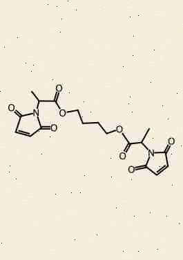 CC(C(=O)OCCCCOC(=O)C(C)N1C(=O)C=CC1=O)N1C(=O)C=CC1=O